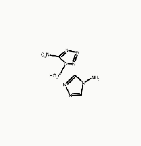 Nn1cnnc1.O=C(O)n1nnnc1[N+](=O)[O-]